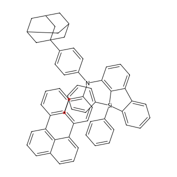 c1ccc(-c2cccc3cccc(-c4ccc(N(c5ccc(C67CC8CC(CC(C8)C6)C7)cc5)c5cccc6c5[Si](c5ccccc5)(c5ccccc5)c5ccccc5-6)cc4)c23)cc1